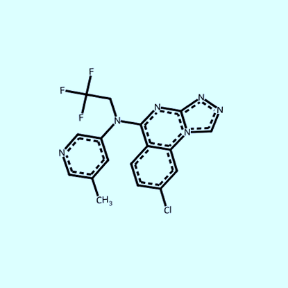 Cc1cncc(N(CC(F)(F)F)c2nc3nncn3c3cc(Cl)ccc23)c1